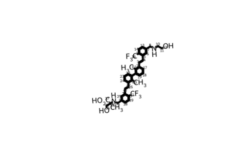 Cc1c(/C=C/c2cc(CNCCO)ccc2C(F)(F)F)cccc1-c1cccc(/C=C/c2cc(CN[C@@](C)(CO)C(=O)O)ccc2C(F)(F)F)c1C